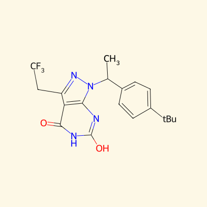 CC(c1ccc(C(C)(C)C)cc1)n1nc(CC(F)(F)F)c2c(=O)[nH]c(O)nc21